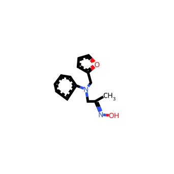 C/C(CN(Cc1ccco1)c1ccccc1)=N\O